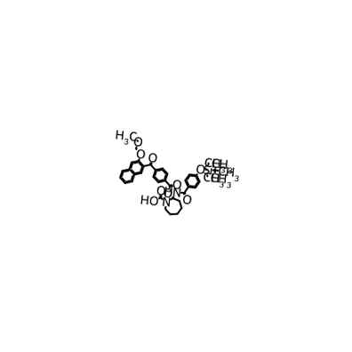 COCOc1cc2ccccc2cc1C(=O)c1ccc(C(=O)OC2(NC(=O)c3ccc(O[Si](C)(C)C(C)(C)C)cc3)CCCCCN2C(=O)O)cc1